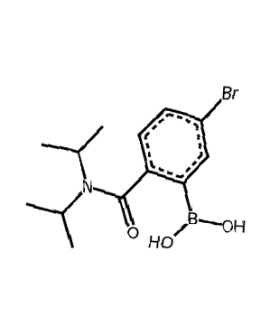 CC(C)N(C(=O)c1ccc(Br)cc1B(O)O)C(C)C